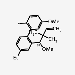 C=CC(C)(C)[C@@H](OC)c1cc(CC)ccc1-c1cc(OC)ccc1F